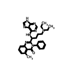 CCN(CC)CCCC(Nc1ncnc2[nH]cnc12)c1nc2cccc(C)c2c(=O)n1-c1ccccc1